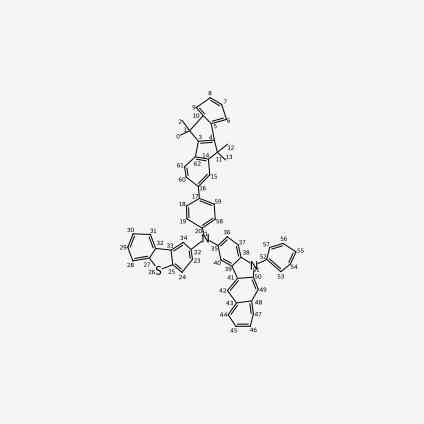 CC1(C)C2=C(c3ccccc31)C(C)(C)c1cc(-c3ccc(N(c4ccc5sc6ccccc6c5c4)c4ccc5c(c4)c4cc6ccccc6cc4n5-c4ccccc4)cc3)ccc12